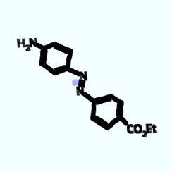 CCOC(=O)c1ccc(/N=N/c2ccc(N)cc2)cc1